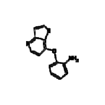 Nc1ccccc1Oc1ccnc2ccsc12